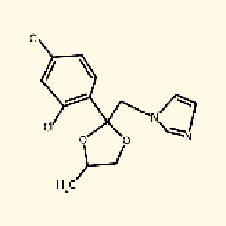 [CH2]C1COC(Cn2ccnc2)(c2ccc(Cl)cc2Cl)O1